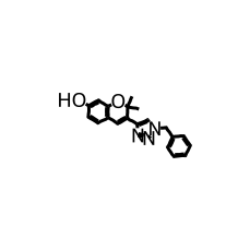 CC1(C)Oc2cc(O)ccc2C=C1c1cn(Cc2ccccc2)nn1